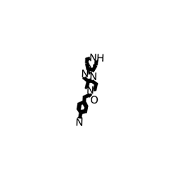 N#Cc1ccc(CC(=O)N2CCc3nc(N4C5CCC4CNC5)ncc3C2)cc1